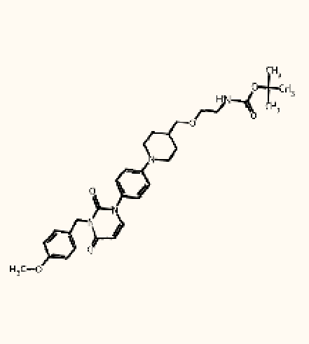 COc1ccc(Cn2c(=O)ccn(-c3ccc(N4CCC(COCCNC(=O)OC(C)(C)C)CC4)cc3)c2=O)cc1